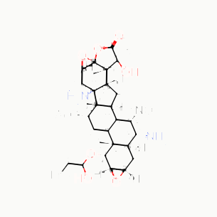 CC(=O)O[C@H]1CC2C([C@@H](N=O)[C@H](N)[C@H]3C[C@@H]4O[C@@H]4[C@H](OC(O)CC(C)C)[C@]23C)[C@@H]2C[C@@H]3[C@](N)([C@H](C)[C@H]4O[C@]45OC(=O)[C@@](C)(O)[C@]35C)[C@@]12C